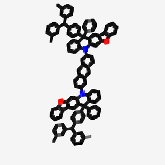 Cc1cccc(C(c2ccc(C3(c4ccccc4)c4ccccc4N(c4ccc5cc6cc(N7c8ccccc8C(c8ccccc8)(c8ccc(C(c9cccc(C)c9)c9cccc(C)c9)cc8)c8cc9c(cc87)oc7ccccc79)ccc6cc5c4)c4cc5oc6ccccc6c5cc43)cc2)c2cccc(C)c2)c1